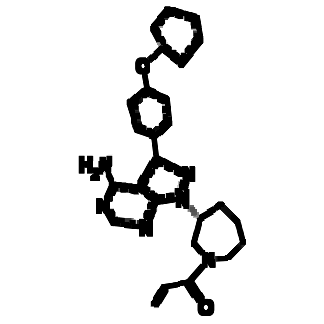 C=CC(=O)N1CCCC[C@@H](n2nc(-c3ccc(Oc4ccccc4)cc3)c3c(N)ncnc32)C1